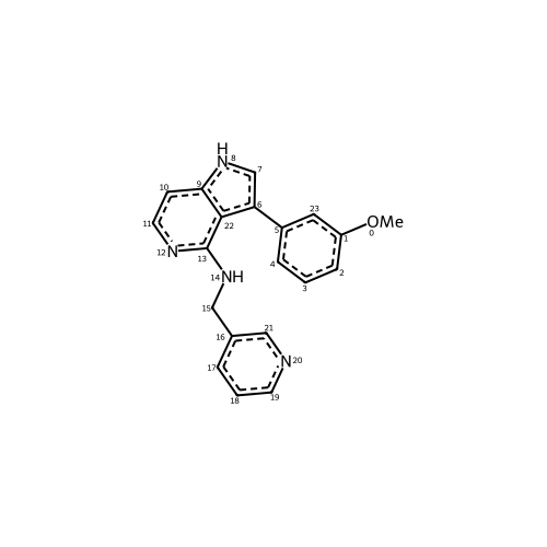 COc1cccc(-c2c[nH]c3ccnc(NCc4cccnc4)c23)c1